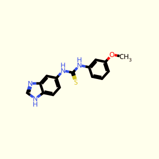 COc1cccc(NC(=S)Nc2ccc3[nH]cnc3c2)c1